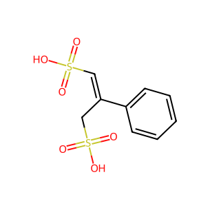 O=S(=O)(O)/C=C(\CS(=O)(=O)O)c1ccccc1